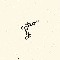 N#Cc1ccc(Cn2cncc2CN(C(=O)C2CCCCC2)c2ccc3sc(C(=O)N4CCSCC4)cc3c2)cc1